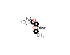 COc1cc(C)ccc1Oc1cccc2c1C=C(C(=O)O)C(C(F)(F)F)O2